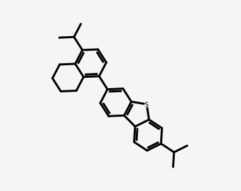 CC(C)c1ccc2c(c1)sc1cc(-c3ccc(C(C)C)c4c3CCCC4)ccc12